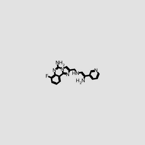 N/C(=C\NCc1cn2c(N)nc3c(F)cccc3c2n1)c1cccnc1